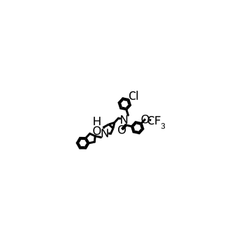 O=C(c1cccc(OC(F)(F)F)c1)N(Cc1cccc(Cl)c1)CC1C2CN(CC3(O)Cc4ccccc4C3)CC21